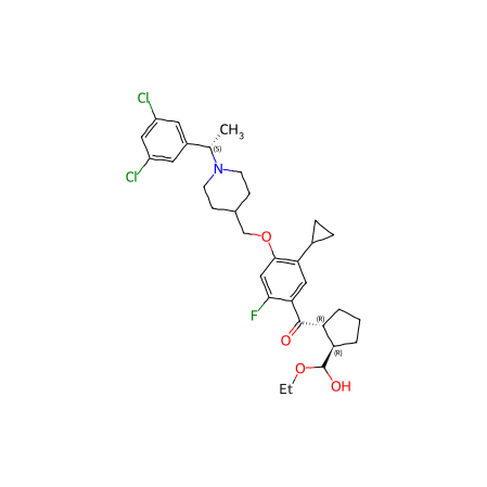 CCOC(O)[C@@H]1CCC[C@H]1C(=O)c1cc(C2CC2)c(OCC2CCN([C@@H](C)c3cc(Cl)cc(Cl)c3)CC2)cc1F